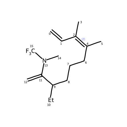 C=C/C(C)=C(/C)CCCC(CC)C(=C)N(C)C(F)(F)F